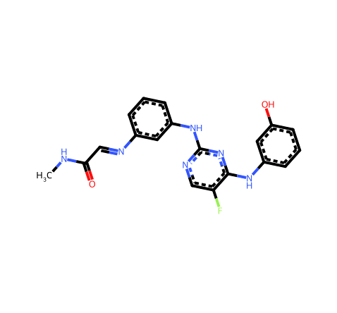 CNC(=O)C=Nc1cccc(Nc2ncc(F)c(Nc3cccc(O)c3)n2)c1